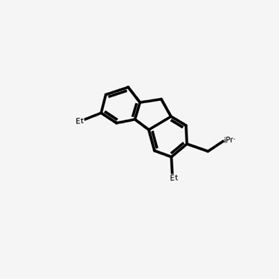 CCc1ccc2c(c1)-c1cc(CC)c(C[C](C)C)cc1C2